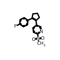 CS(=O)(=O)c1ccc(C2=C(c3ccc(F)cc3)CCC2)cn1